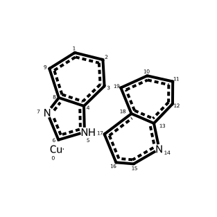 [Cu].c1ccc2[nH]cnc2c1.c1ccc2ncccc2c1